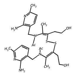 CC(=O)N(Cc1ccc(C)nc1N)C(C)=C(CCO)SSC(CCO)=C(C)N(Cc1ccc(C)nc1N)C(C)=O